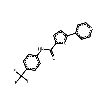 O=C(Nc1ccc(C(F)(F)F)cc1)c1ccc(-c2ccncc2)s1